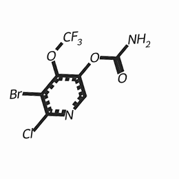 NC(=O)Oc1cnc(Cl)c(Br)c1OC(F)(F)F